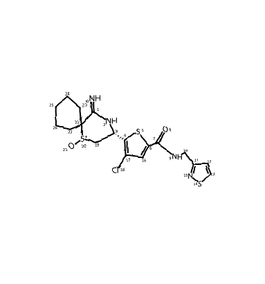 N=C1N[C@H](c2sc(C(=O)NCc3ccsn3)cc2Cl)C[S+]([O-])C12CCCCC2